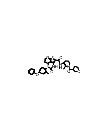 CC1=C(NC(=O)c2sc3nccc4c3c2NC(=O)N4c2ccc(Oc3ccccc3)cc2C)CCCN1C(=O)[C@H]1CCOC1